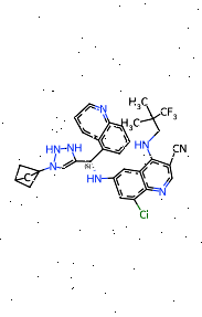 CC(C)(CNc1c(C#N)cnc2c(Cl)cc(N[C@H](C3=CN(C45CC(C4)C5)NN3)c3cccc4ncccc34)cc12)C(F)(F)F